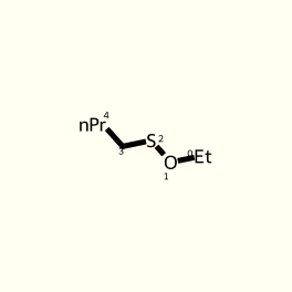 [CH2]COSCCCC